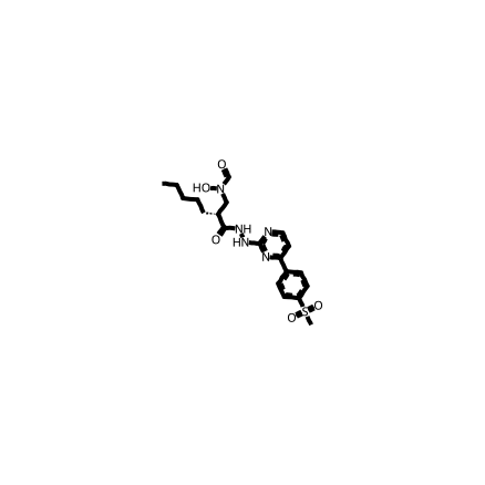 CCCCC[C@H](CN(O)C=O)C(=O)NNc1nccc(-c2ccc(S(C)(=O)=O)cc2)n1